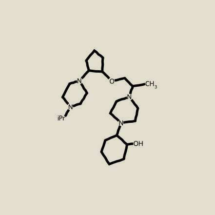 CC(C)N1CCN(C2CCCC2OCC(C)N2CCN(C3CCCCC3O)CC2)CC1